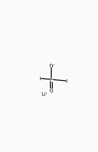 O=P([O-])(I)I.[Li+]